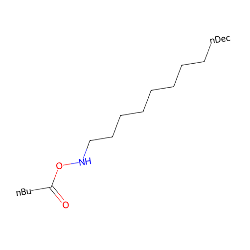 CCCCCCCCCCCCCCCCCCNOC(=O)CCCC